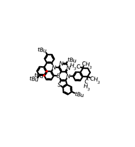 CC(C)(C)c1ccc(-c2cc(C(C)(C)C)ccc2N2c3cc(C(C)(C)C)ccc3B3c4sc5ccc(C(C)(C)C)cc5c4N(c4ccc5c(c4)C(C)(C)CCC5(C)C)c4nc(C(C)(C)C)nc2c43)cc1